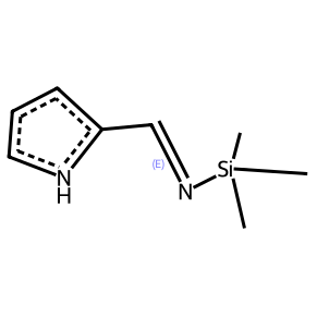 C[Si](C)(C)/N=C/c1ccc[nH]1